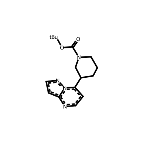 CC(C)(C)OC(=O)N1CCCC(c2ccnc3ccnn23)C1